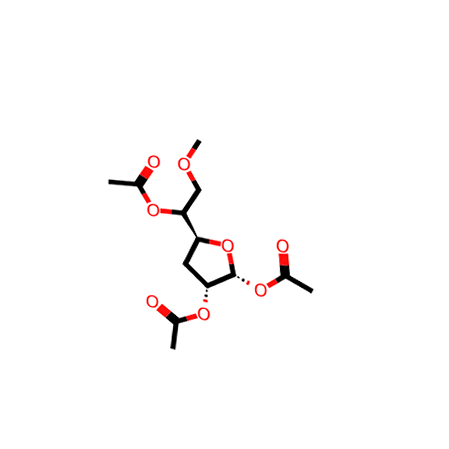 COCC(OC(C)=O)[C@@H]1C[C@@H](OC(C)=O)[C@@H](OC(C)=O)O1